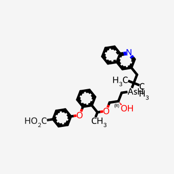 CC(OC[C@@H](O)C[AsH]C(C)(C)Cc1cnc2ccccc2c1)c1ccccc1Oc1ccc(C(=O)O)cc1